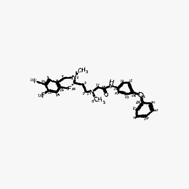 CN(CCCN(C)Cc1cc(F)c(F)cc1F)CC(=O)Nc1ccc(Oc2ccccc2)cc1